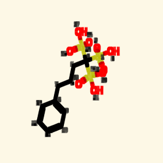 O=S(=O)(O)C(CCCc1cc[c]cc1)(S(=O)(=O)O)S(=O)(=O)O